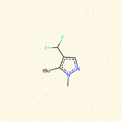 Cn1ncc(C(F)F)c1C(C)(C)C